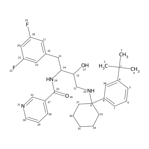 CC(C)(C)c1cccc(C2(NCC(O)C(Cc3cc(F)cc(F)c3)NC(=O)c3cccnc3)CCCCC2)c1